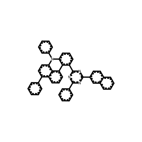 c1ccc(-c2nc(-c3ccc4ccccc4c3)nc(-c3cccc4c3-c3cccc5c(-c6ccccc6)ccc(c35)N4c3ccccc3)n2)cc1